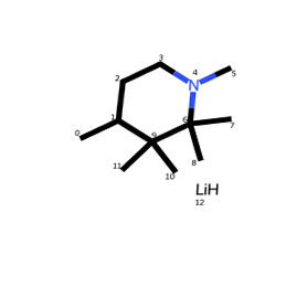 CC1CCN(C)C(C)(C)C1(C)C.[LiH]